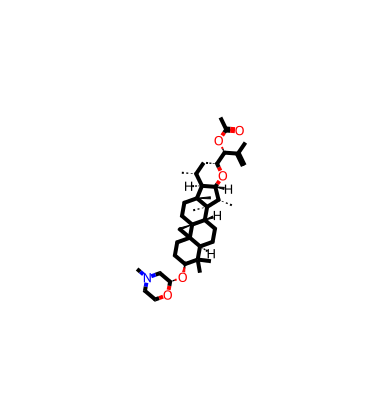 C=C(C)[C@@H](OC(C)=O)[C@H]1C[C@@H](C)[C@H]2[C@H](O1)[C@H](C)[C@@]1(C)[C@@H]3CC[C@H]4C(C)(C)[C@@H](O[C@H]5CN(C)CCO5)CCC45C[C@@]35CC[C@]21C